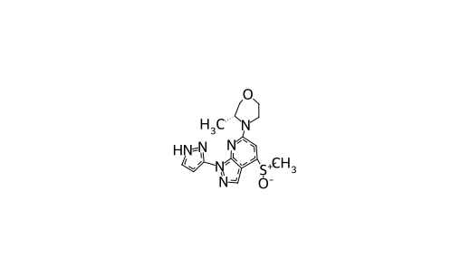 C[C@@H]1COCCN1c1cc([S+](C)[O-])c2cnn(-c3cc[nH]n3)c2n1